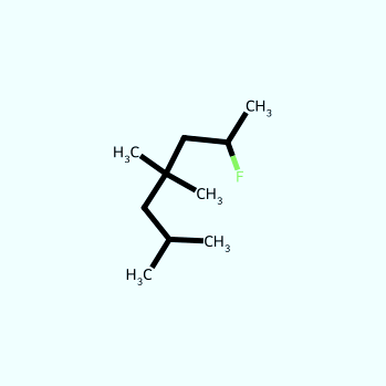 CC(C)CC(C)(C)CC(C)F